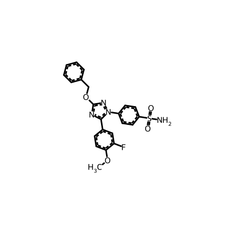 COc1ccc(-c2nc(OCc3ccccc3)nn2-c2ccc(S(N)(=O)=O)cc2)cc1F